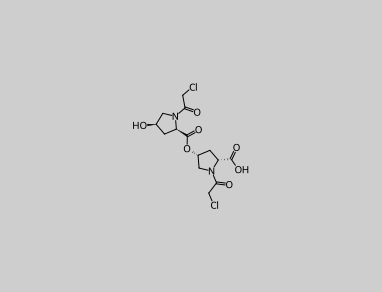 O=C(O)[C@H]1C[C@@H](OC(=O)[C@H]2C[C@@H](O)CN2C(=O)CCl)CN1C(=O)CCl